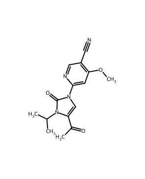 COc1cc(-n2cc(C(C)=O)n(C(C)C)c2=O)ncc1C#N